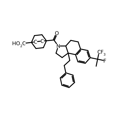 CC(F)(c1ccc2c(c1)CCC1N(C(=O)C34CCC(C(=O)O)(CC3)CC4)CCC21CCc1ccccc1)C(F)(F)F